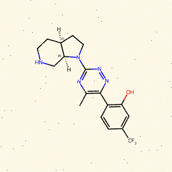 Cc1nc(N2CC[C@@H]3CCNC[C@@H]32)nnc1-c1ccc(C(F)(F)F)cc1O